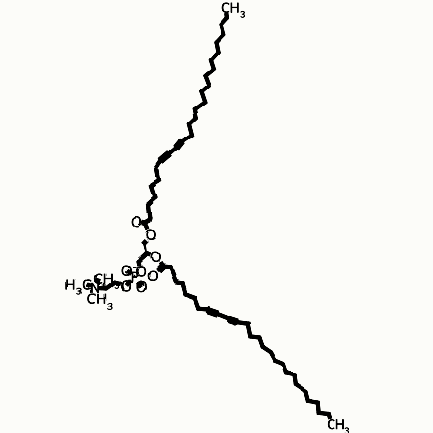 CCCCCCCCCCCCCCCCC#CC#CCCCCCCC(=O)OC[C@H](COP(=O)([O-])OCC[N+](C)(C)C)OC(=O)CCCCCCC#CC#CCCCCCCCCCCCCCCCC